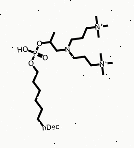 CCCCCCCCCCCCCCCCOP(=O)(O)OC(C)CN(CCC[N+](C)(C)C)CCC[N+](C)(C)C